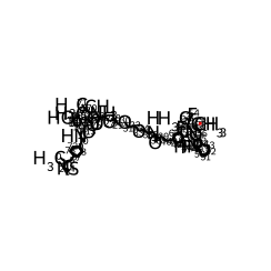 Cc1ncsc1-c1ccc(CNC(=O)[C@@H]2C[C@@H](O)CN2C(=O)C(NC(=O)COCCOCCOCCNC(=O)/C=C/c2cc(F)c([C@@H]3c4[nH]c5ccccc5c4C[C@@H](C)N3CC(C)(C)F)c(F)c2)C(C)(C)C)cc1